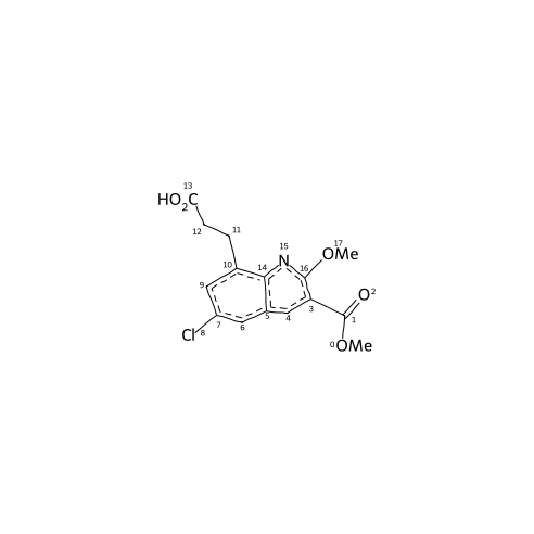 COC(=O)c1cc2cc(Cl)cc(CCC(=O)O)c2nc1OC